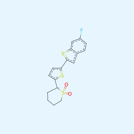 O=S1(=O)CCCC[C]1c1ccc(-c2cc3ccc(F)cc3s2)s1